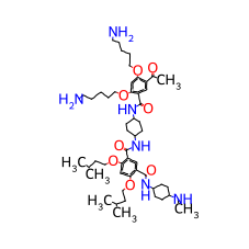 CNC1CCC(NC(=O)c2cc(C(=O)NC3CCC(NC(=O)c4cc(C(C)=O)c(OCCCCCN)cc4OCCCCCN)CC3)c(OCCC(C)C)cc2OCCC(C)C)CC1